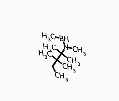 CBN(C)C(C)(C)C(C)(C)CC